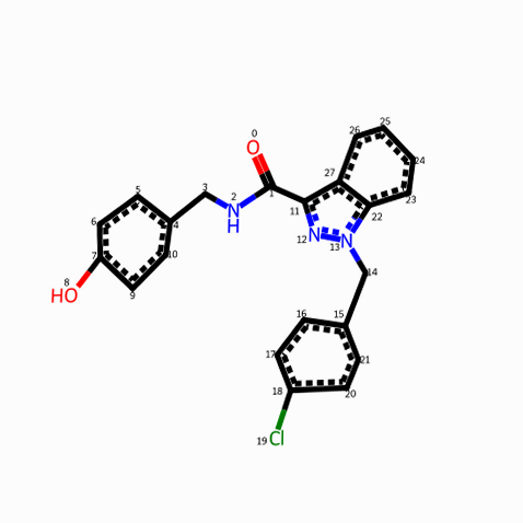 O=C(NCc1ccc(O)cc1)c1nn(Cc2ccc(Cl)cc2)c2ccccc12